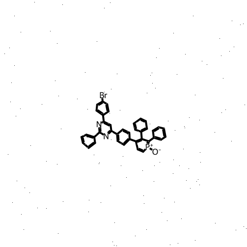 [O-][p+]1ccc(-c2ccc(-c3cc(-c4ccc(Br)cc4)nc(-c4ccccc4)n3)cc2)c(-c2ccccc2)c1-c1ccccc1